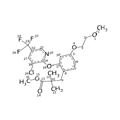 COCCOc1ccc(CC(C)(C)C(=O)OC)c(Oc2ncc(C(F)(F)F)cc2Cl)c1